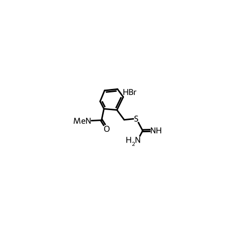 Br.CNC(=O)c1ccccc1CSC(=N)N